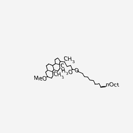 CCCCCCCC/C=C\CCCCCCCCOC(=O)CC[C@@H](C)C1CCC2C3CCC4C[C@H](OC)CC[C@]4(C)C3CC[C@@]21C